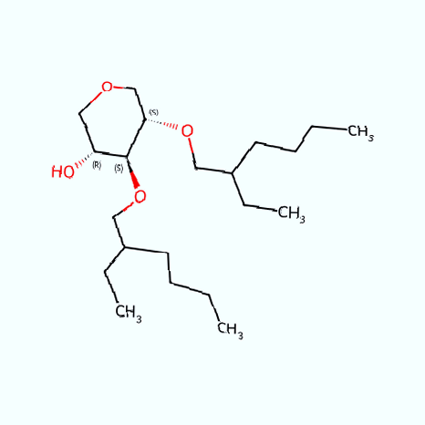 CCCCC(CC)CO[C@H]1[C@H](O)COC[C@@H]1OCC(CC)CCCC